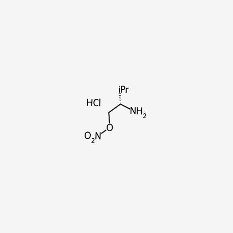 CC(C)[C@H](N)CO[N+](=O)[O-].Cl